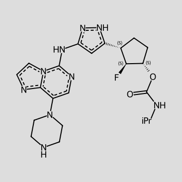 CC(C)NC(=O)O[C@H]1CC[C@@H](c2cc(Nc3ncc(N4CCNCC4)c4nccn34)n[nH]2)[C@@H]1F